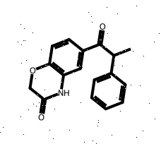 CC(C(=O)c1ccc2c(c1)NC(=O)CO2)c1ccccc1